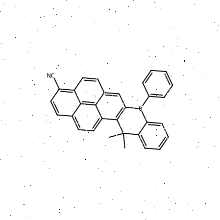 CC1(C)c2ccccc2B(c2ccccc2)c2cc3ccc4c(C#N)ccc5ccc(c21)c3c54